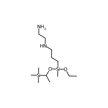 CCO[Si](C)(CCCNCCN)OC(C)[Si](C)(C)C